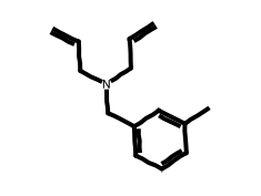 C=CCN(CC=C)Cc1[c]c(C)c[c]c1